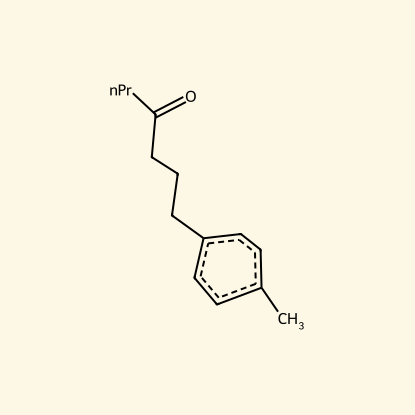 CCCC(=O)CCCc1ccc(C)cc1